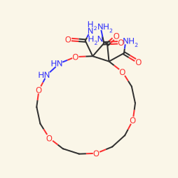 NC(=O)C1(C(N)=O)OCCOCCOCCOCCONNOC1(C(N)=O)C(N)=O